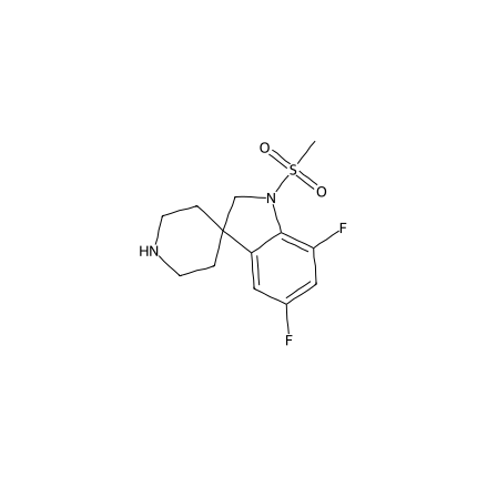 CS(=O)(=O)N1CC2(CCNCC2)c2cc(F)cc(F)c21